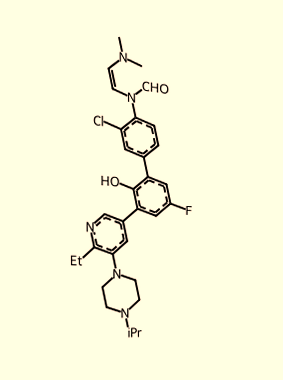 CCc1ncc(-c2cc(F)cc(-c3ccc(N(C=O)/C=C\N(C)C)c(Cl)c3)c2O)cc1N1CCN(C(C)C)CC1